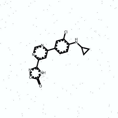 O=c1[nH]c(-c2cc(-c3ccc(NC4CC4)c(Cl)c3)ncn2)no1